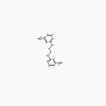 Oc1cccc(OCCOc2cccc(O)c2)c1